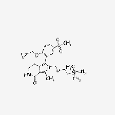 Cc1c2c(c(-c3cc(S(C)(=O)=O)ccc3OCC3CC3)n1COCC[Si](C)(C)C)CCNC2=O